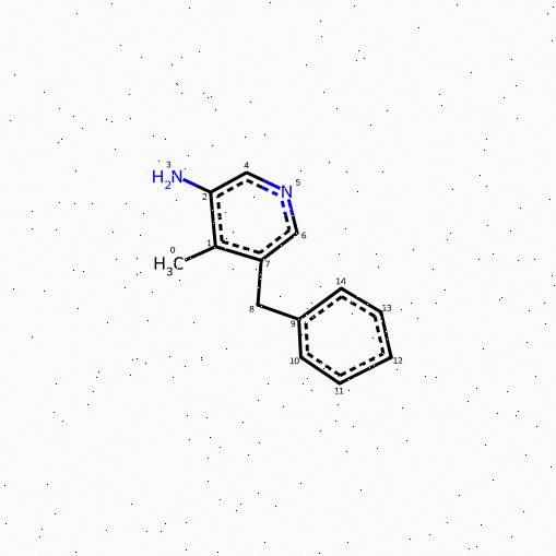 Cc1c(N)cncc1Cc1ccccc1